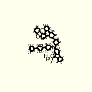 CC1(C)c2ccccc2-c2ccc(N(c3ccc(-c4ccc(-c5ccccc5)cc4)cc3)c3cccc(-c4ccc5c6ccccc6c6c(ccc7oc8ccccc8c76)c5c4)c3)cc21